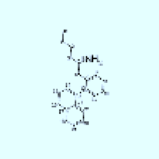 CCCCC(N)Cc1ccccc1-c1cccc2ccccc12